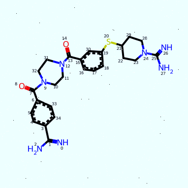 N=C(N)c1ccc(C(=O)N2CCN(C(=O)c3cccc(SC4CCN(C(=N)N)CC4)c3)CC2)cc1